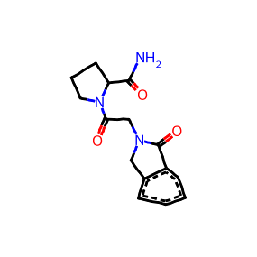 NC(=O)C1CCCN1C(=O)CN1Cc2ccccc2C1=O